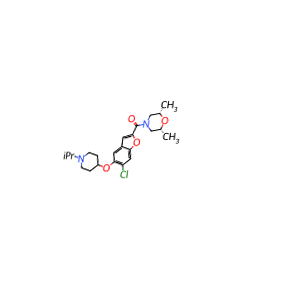 CC(C)N1CCC(Oc2cc3cc(C(=O)N4C[C@@H](C)O[C@@H](C)C4)oc3cc2Cl)CC1